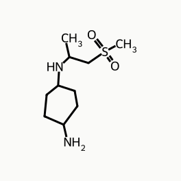 CC(CS(C)(=O)=O)NC1CCC(N)CC1